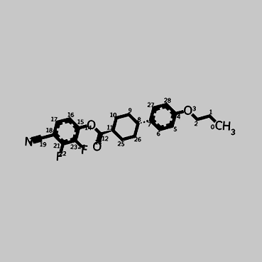 CCCOc1ccc([C@H]2CC[C@H](C(=O)Oc3ccc(C#N)c(F)c3F)CC2)cc1